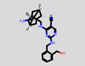 N#Cc1cnc(NCc2ccccc2CO)nc1NCC12C[C@H]3C[C@H]1C[C@@H](C2)[C@@H]3N